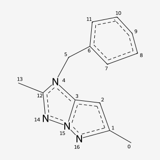 Cc1cc2n(Cc3ccccc3)c(C)nn2n1